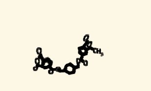 CC1OC(=O)c2ccc(C(=O)OCC3CCC(COC(=O)c4ccc5c(c4)C(=O)OC5=O)CC3)cc21